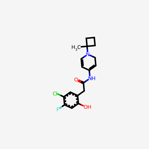 CC1(N2C=CC(NC(=O)Cc3cc(Cl)c(F)cc3O)=CC2)CCC1